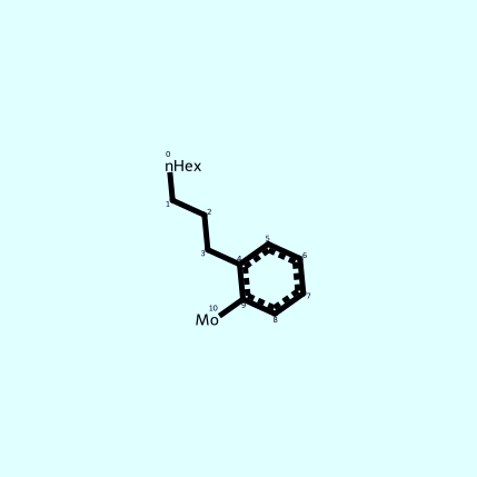 CCCCCCCCCc1cccc[c]1[Mo]